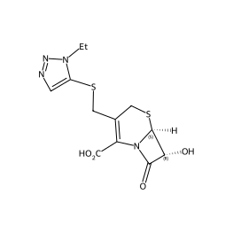 CCn1nncc1SCC1=C(C(=O)O)N2C(=O)[C@@H](O)[C@@H]2SC1